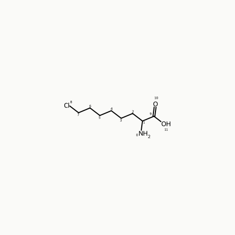 NC(CCCCCCCl)C(=O)O